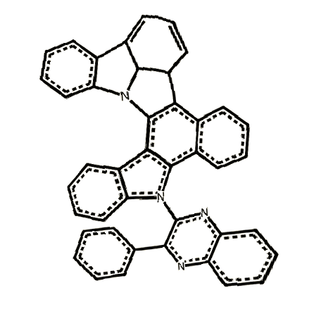 C1=CC2c3c(c4c5ccccc5n(-c5nc6ccccc6nc5-c5ccccc5)c4c4ccccc34)N3c4ccccc4C(=C1)C23